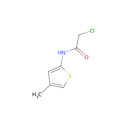 Cc1csc(NC(=O)CCl)c1